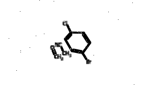 C=O.CC#N.Clc1ccc(Br)cc1